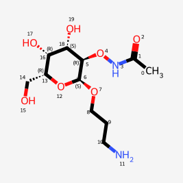 CC(=O)NO[C@H]1[C@@H](OCCCN)O[C@H](CO)[C@H](O)[C@@H]1O